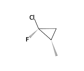 C[C@H]1C[C@]1(F)Cl